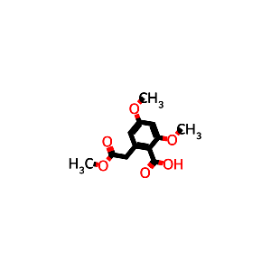 COC(=O)Cc1cc(OC)cc(OC)c1C(=O)O